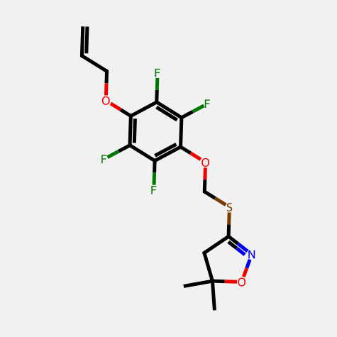 C=CCOc1c(F)c(F)c(OCSC2=NOC(C)(C)C2)c(F)c1F